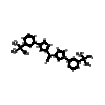 CC(C)(C)c1cccc(-n2cc(C(=O)c3cn(-c4cccc(C(C)(C)C)c4)nn3)nn2)c1